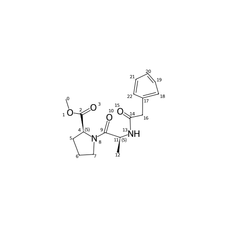 COC(=O)[C@@H]1CCCN1C(=O)[C@H](C)NC(=O)Cc1ccccc1